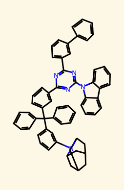 c1ccc(-c2cccc(-c3nc(-c4cccc(C(c5ccccc5)(c5ccccc5)c5cccc(N6C7CC8CC(C7)CC6C8)c5)c4)nc(-n4c5ccccc5c5ccccc54)n3)c2)cc1